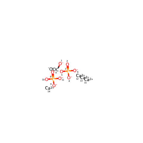 O=C([O-])[O-].O=P([O-])([O-])[O-].O=P([O-])([O-])[O-].[Ca+2].[Ca+2].[Ca+2].[Ca+2]